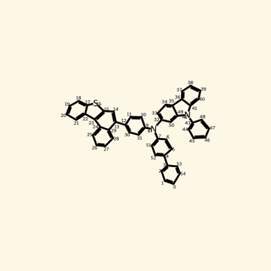 c1ccc(-c2ccc(N(c3ccc(-c4cc5sc6ccccc6c5c5ccccc45)cc3)c3ccc4c5ccccc5n(-c5ccccc5)c4c3)cc2)cc1